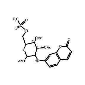 CC(=O)OC1OC(COS(=O)(=O)C(F)(F)F)[C@H](OC(C)=O)[C@@H](OC(C)=O)C1Nc1ccc2ccc(=O)oc2c1